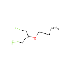 CC[CH]OC(CF)CF